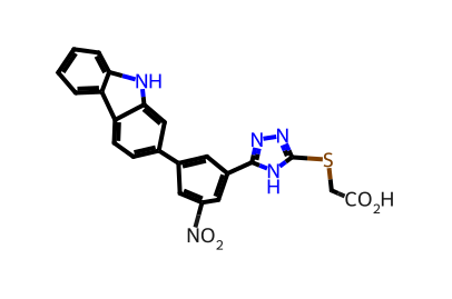 O=C(O)CSc1nnc(-c2cc(-c3ccc4c(c3)[nH]c3ccccc34)cc([N+](=O)[O-])c2)[nH]1